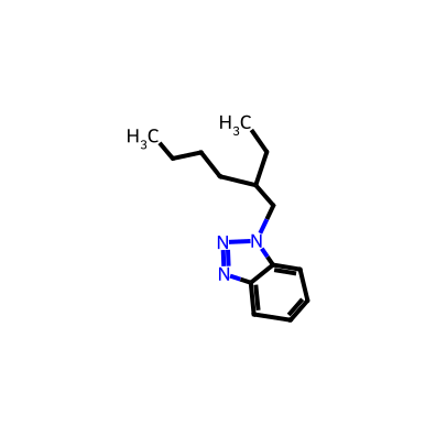 CCCCC(CC)Cn1nnc2ccccc21